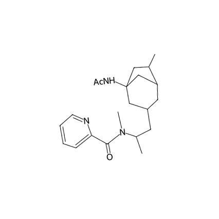 CC(=O)NC12CC(CC(C)N(C)C(=O)c3ccccn3)CC(C1)C(C)C2